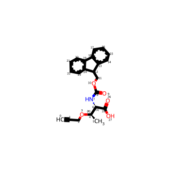 C#CCO[C@H](C)[C@H](NC(=O)OCC1c2ccccc2-c2ccccc21)C(=O)O